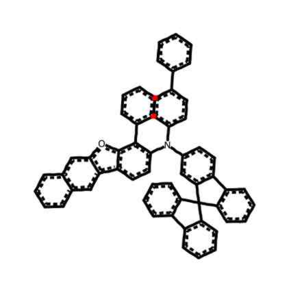 c1ccc(-c2ccc(N(c3ccc4c(c3)C3(c5ccccc5-c5ccccc53)c3ccccc3-4)c3ccc4c(oc5cc6ccccc6cc54)c3-c3ccccc3)cc2)cc1